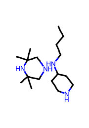 CC1(C)CNCC(C)(C)N1.CCCCNC1CCNCC1